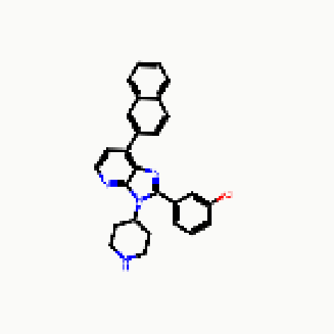 Oc1cccc(-c2nc3c(-c4ccc5ccccc5c4)ccnc3n2C2CCNCC2)c1